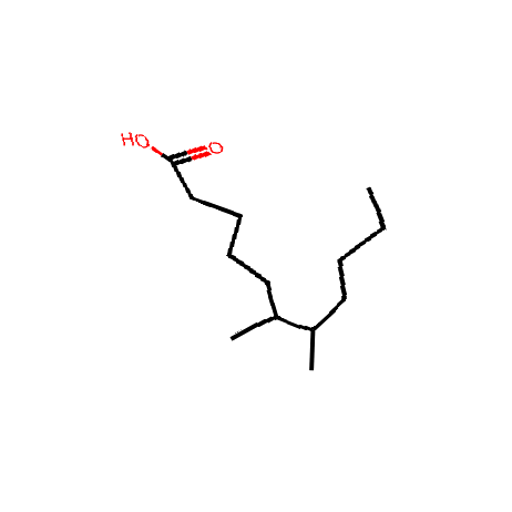 CCCCC(C)C(C)CCCCC(=O)O